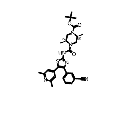 Cc1cc(-c2sc(NC(=O)N3C[C@H](C)N(C(=O)OC(C)(C)C)C[C@@H]3C)nc2-c2cccc(C#N)c2)cc(C)n1